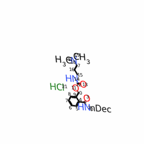 CCCCCCCCCCNC(=O)c1ccccc1COC(=O)NCCCN(C)C.Cl